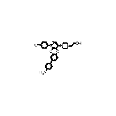 Nc1ccc(-c2ccc(Oc3c(N4CCN(CCO)CC4)cnn(-c4ccc(Cl)cc4)c3=O)cc2)cc1